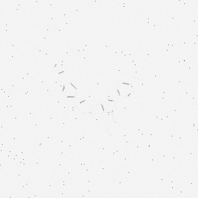 C=CC(=O)Nc1ccc(C(=O)N(C)CC2Cc3nc(-c4cnc(N)nc4)nc(N4CCOCC4)c3S2)cc1